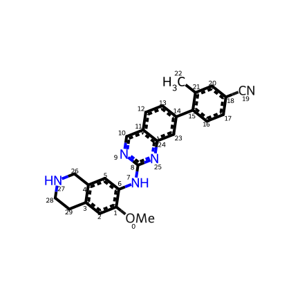 COc1cc2c(cc1Nc1ncc3ccc(-c4ccc(C#N)cc4C)cc3n1)CNCC2